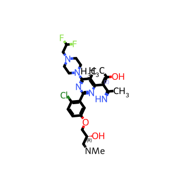 CNC[C@@H](O)COc1ccc(Cl)c(-c2nc(/C(C(C)=N)=C(\C)O)c(C)c(N3CCN(CC(F)F)CC3)n2)c1